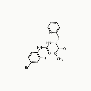 COC(=O)[C@@H](Cc1ccccn1)NC(=O)Nc1ccc(Br)cc1F